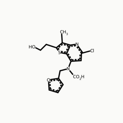 Cc1c(CCO)sc2c(N(Cc3ccco3)C(=O)O)cc(Cl)nc12